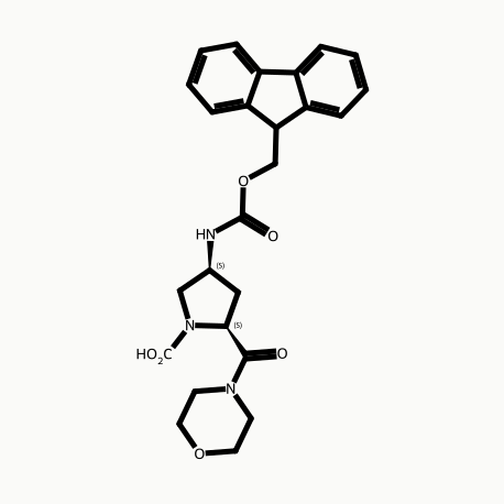 O=C(N[C@H]1C[C@@H](C(=O)N2CCOCC2)N(C(=O)O)C1)OCC1c2ccccc2-c2ccccc21